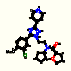 COc1ccc(-c2nc(-c3ccncc3)nn2CCN(C(=O)C2CCCO2)C2CCCC2)cc1Cl